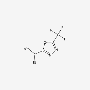 CCCC(CC)c1nnc(C(F)(F)I)o1